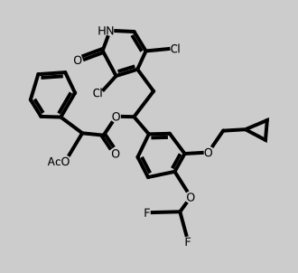 CC(=O)OC(C(=O)OC(Cc1c(Cl)c[nH]c(=O)c1Cl)c1ccc(OC(F)F)c(OCC2CC2)c1)c1ccccc1